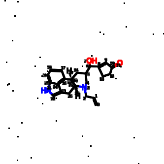 C=CCN1CC(C(O)C2=CC(=O)CC2)C[C@@H]2c3cccc4[nH]cc(c34)C[C@H]21